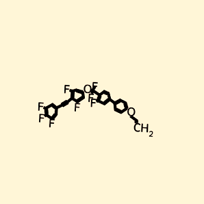 C=CCOc1ccc(-c2ccc(C(F)(F)Oc3cc(F)c(C#Cc4cc(F)c(F)c(F)c4)c(F)c3)c(F)c2)cc1